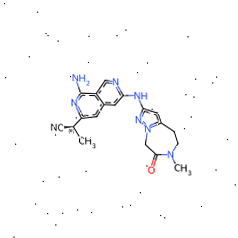 C[C@@H](C#N)c1cc2cc(Nc3cc4n(n3)CC(=O)N(C)CC4)ncc2c(N)n1